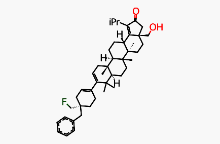 CC(C)C1=C2[C@H]3CC[C@@H]4[C@@]5(C)CC=C(C6=CC[C@](CF)(Cc7ccccc7)CC6)C(C)(C)[C@@H]5CC[C@@]4(C)[C@]3(C)CC[C@@]2(CO)CC1=O